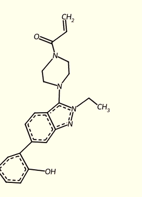 C=CC(=O)N1CCN(c2c3ccc(-c4ccccc4O)cc3nn2CC)CC1